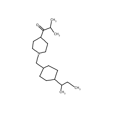 CCC(C)C1CCC(CN2CCC(C(=O)C(C)C)CC2)CC1